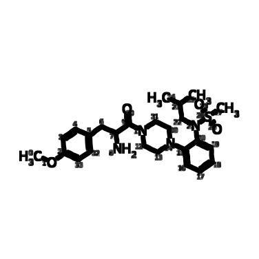 COc1ccc(CC(N)C(=O)N2CCN(c3ccccc3N(CC(C)C)S(C)(=O)=O)CC2)cc1